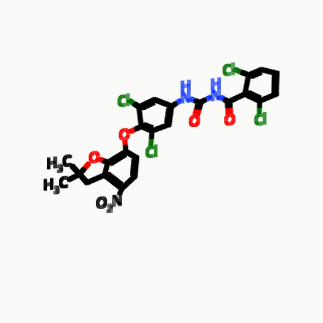 CC1(C)Cc2c([N+](=O)[O-])ccc(Oc3c(Cl)cc(NC(=O)NC(=O)c4c(Cl)cccc4Cl)cc3Cl)c2O1